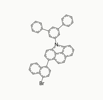 Brc1ccc(-c2ccc3c4c2ccc2cccc(c24)n3-c2cc(-c3ccccc3)cc(-c3ccccc3)c2)c2ccccc12